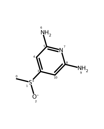 C[S+]([O-])c1cc(N)nc(N)c1